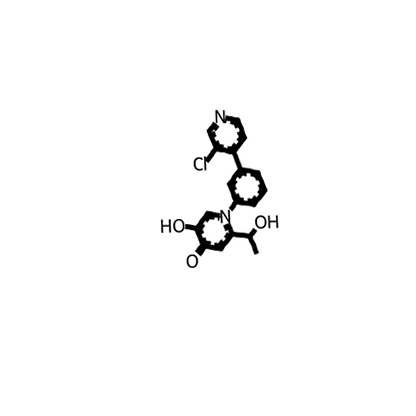 CC(O)c1cc(=O)c(O)cn1-c1cccc(-c2ccncc2Cl)c1